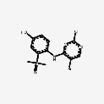 CP(C)(=O)c1cc(O)ccc1Nc1nc(Cl)ncc1Br